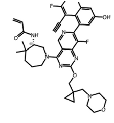 C#Cc1c(F)ccc2cc(O)cc(-c3ncc4c(N5CCCC(C)(C)[C@H](NC(=O)C=C)C5)nc(OCC5(CN6CCOCC6)CC5)nc4c3F)c12